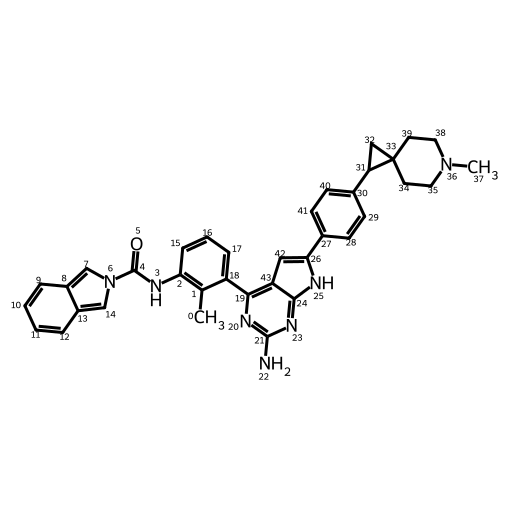 Cc1c(NC(=O)n2cc3ccccc3c2)cccc1-c1nc(N)nc2[nH]c(-c3ccc(C4CC45CCN(C)CC5)cc3)cc12